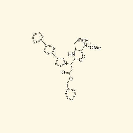 CON(C)C(=O)C(CC(C)C)NC(=O)C(CC(=O)OCc1ccccc1)n1ccc(-c2ccc(-c3ccccc3)cc2)c1